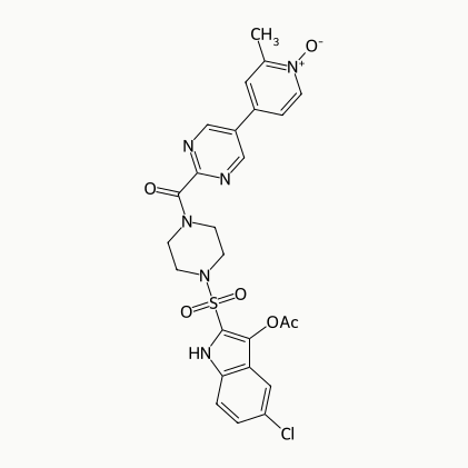 CC(=O)Oc1c(S(=O)(=O)N2CCN(C(=O)c3ncc(-c4cc[n+]([O-])c(C)c4)cn3)CC2)[nH]c2ccc(Cl)cc12